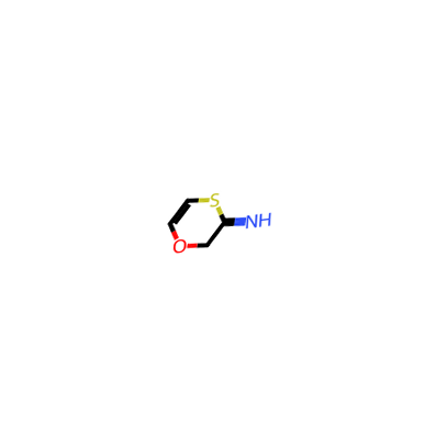 N=C1COC=CS1